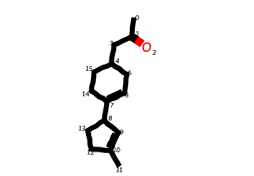 CC(=O)CC1CC=C(C2C=C(C)CC2)CC1